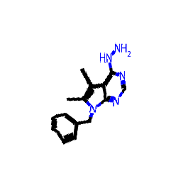 Cc1c(C)n(Cc2ccccc2)c2ncnc(NN)c12